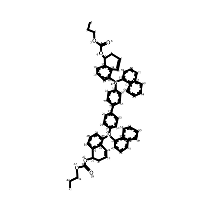 CCCOC(=O)OC1CC=Cc2c1cccc2N(c1ccc(-c2ccc(N(c3cccc4c3C=CCC4OC(=O)OCCC)c3cccc4ccccc34)cc2)cc1)c1cccc2ccccc12